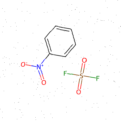 O=S(=O)(F)F.O=[N+]([O-])c1ccccc1